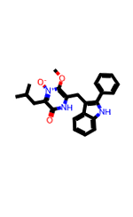 COc1c(Cc2c(-c3ccccc3)[nH]c3ccccc23)[nH]c(=O)c(CC(C)C)[n+]1[O-]